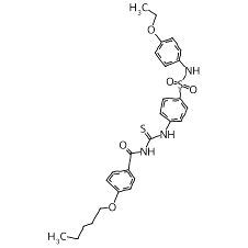 CCCCCOc1ccc(C(=O)NC(=S)Nc2ccc(S(=O)(=O)Nc3ccc(OCC)cc3)cc2)cc1